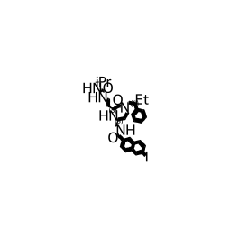 CC[C@H](CN1CC[C@@H](CNC(=O)c2ccc3cc(I)ccc3c2)N[C@@H](CCNC(=O)NC(C)C)C1=O)c1ccccc1